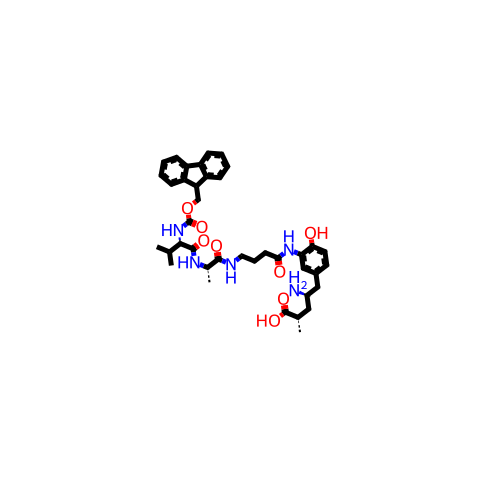 CC(C)[C@H](NC(=O)OCC1c2ccccc2-c2ccccc21)C(=O)N[C@@H](C)C(=O)NCCCC(=O)Nc1cc(C[C@H](N)C[C@H](C)C(=O)O)ccc1O